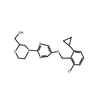 OCC1CN(c2ncc(OCc3c(Cl)cccc3C3CC3)cn2)CCO1